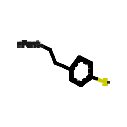 CCCCCCCc1ccc([S])cc1